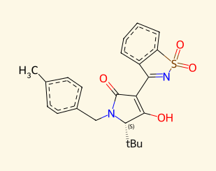 Cc1ccc(CN2C(=O)C(C3=NS(=O)(=O)c4ccccc43)=C(O)[C@@H]2C(C)(C)C)cc1